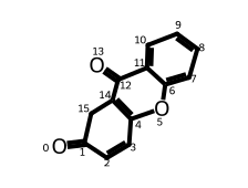 O=C1C=Cc2oc3ccccc3c(=O)c2C1